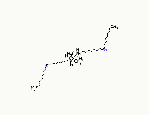 CCCCCCCC/C=C\CCCCCCCCNC(C)(C)C(C)(C)NCCCCCCCC/C=C\CCCCCCCC